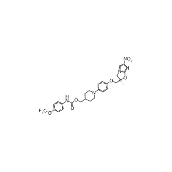 C[C@]1(COc2ccc(N3CCC(COC(=O)Nc4ccc(OC(F)(F)F)cc4)CC3)cc2)Cn2cc([N+](=O)[O-])nc2O1